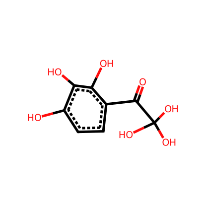 O=C(c1ccc(O)c(O)c1O)C(O)(O)O